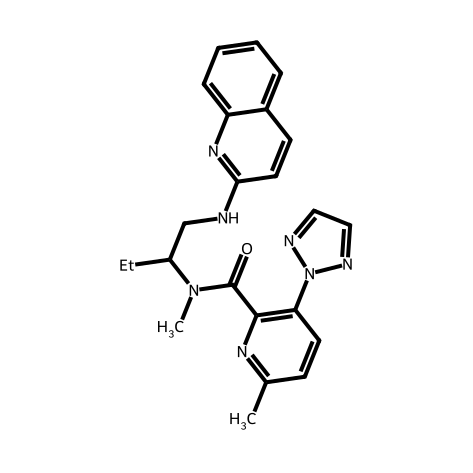 CCC(CNc1ccc2ccccc2n1)N(C)C(=O)c1nc(C)ccc1-n1nccn1